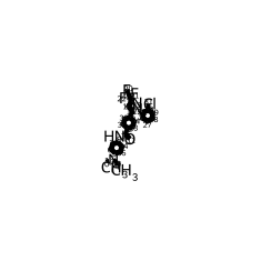 CCN(CC)c1ccc(NC(=O)c2ccc(-c3cc(C(F)(F)F)nn3-c3ccccc3Cl)cc2)cc1